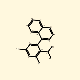 Cc1cc(F)cc(-c2cccc3ccccc23)c1C(C)C